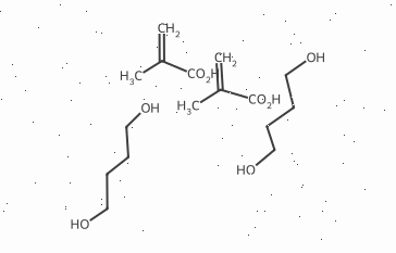 C=C(C)C(=O)O.C=C(C)C(=O)O.OCCCCO.OCCCCO